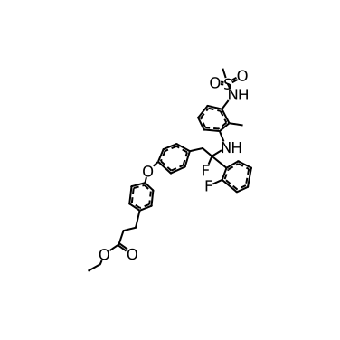 CCOC(=O)CCc1ccc(Oc2ccc(CC(F)(Nc3cccc(NS(C)(=O)=O)c3C)c3ccccc3F)cc2)cc1